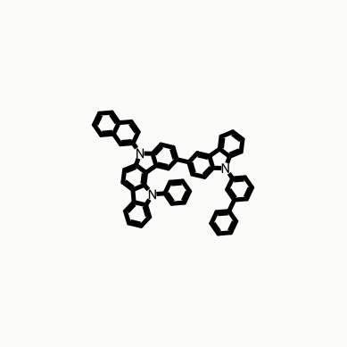 c1ccc(-c2cccc(-n3c4ccccc4c4cc(-c5ccc6c(c5)c5c(ccc7c8ccccc8n(-c8ccccc8)c75)n6-c5ccc6ccccc6c5)ccc43)c2)cc1